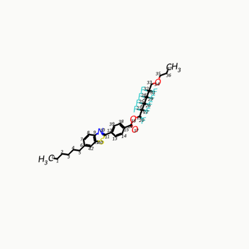 CCCCCCc1ccc2nc(-c3ccc(C(=O)OC(F)C(F)(F)C(F)(F)C(F)(F)C(F)(F)COCCC)cc3)sc2c1